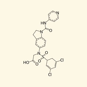 O=C(O)CN(c1ccc2c(c1)CCN2C(=O)Nc1ccncc1)S(=O)(=O)C1C=C(Cl)C=C(Cl)C1